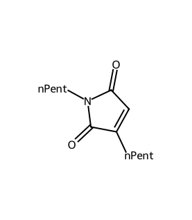 CCCCCC1=CC(=O)N(CCCCC)C1=O